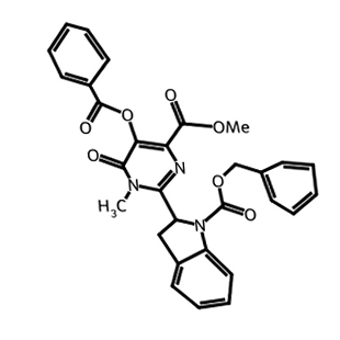 COC(=O)c1nc(C2Cc3ccccc3N2C(=O)OCc2ccccc2)n(C)c(=O)c1OC(=O)c1ccccc1